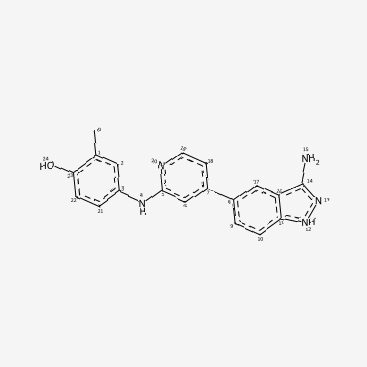 Cc1cc(Nc2cc(-c3ccc4[nH]nc(N)c4c3)ccn2)ccc1O